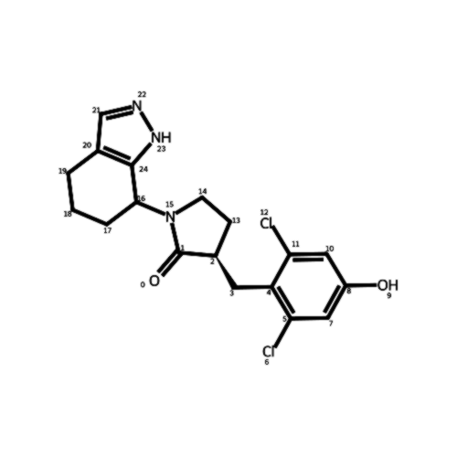 O=C1[C@H](Cc2c(Cl)cc(O)cc2Cl)CCN1C1CCCc2cn[nH]c21